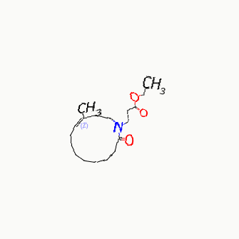 CCOC(=O)CCN1CC/C(C)=C\CCCCCCCC1=O